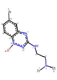 CCN(CC)CCNc1nc2cc(C(C)C)ccc2[n+]([O-])n1